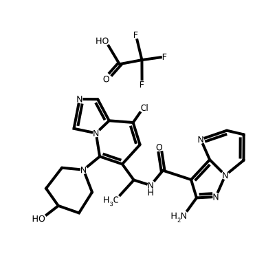 CC(NC(=O)c1c(N)nn2cccnc12)c1cc(Cl)c2cncn2c1N1CCC(O)CC1.O=C(O)C(F)(F)F